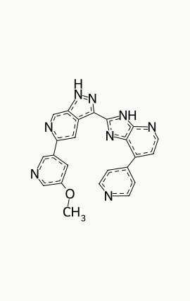 COc1cncc(-c2cc3c(-c4nc5c(-c6ccncc6)ccnc5[nH]4)n[nH]c3cn2)c1